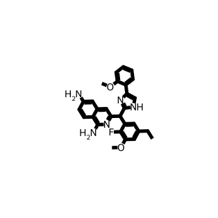 CCc1cc(OC)c(F)c(C(c2cc3cc(N)ccc3c(N)n2)c2nc(-c3ccccc3OC)c[nH]2)c1